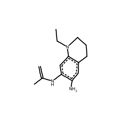 C=C(C)Nc1cc2c(cc1N)CCCN2CC